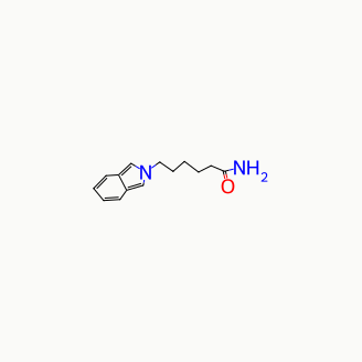 NC(=O)CCCCCn1cc2ccccc2c1